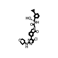 O=C(CN1Cc2ccc(-c3nc(NC4CCOCC4)ncc3Cl)cc2C1=O)N[C@H](CO)c1cccc(C2CC2)c1